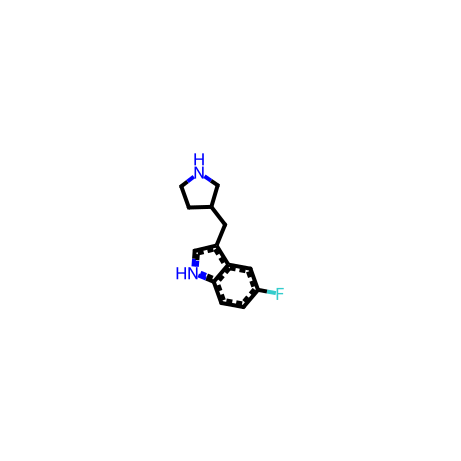 Fc1ccc2[nH]cc(CC3CCNC3)c2c1